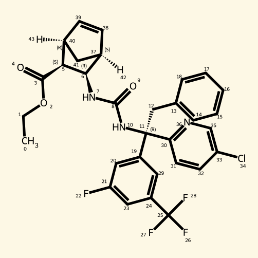 CCOC(=O)[C@@H]1[C@H](NC(=O)N[C@](Cc2ccccc2)(c2cc(F)cc(C(F)(F)F)c2)c2ccc(Cl)cn2)[C@@H]2C=C[C@H]1C2